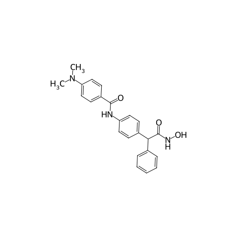 CN(C)c1ccc(C(=O)Nc2ccc(C(C(=O)NO)c3ccccc3)cc2)cc1